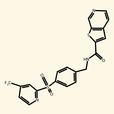 O=C(NCc1ccc(S(=O)(=O)c2cc(C(F)(F)F)ccn2)cc1)c1cc2ccncc2s1